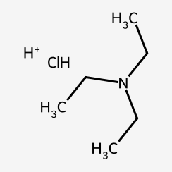 CCN(CC)CC.Cl.[H+]